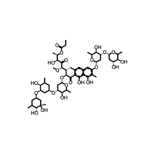 CCC(=O)O[C@H](C)[C@H](O)C(=O)[C@@H](OC)[C@@H]1Cc2cc3cc(O[C@H]4C[C@@H](O[C@H]5C[C@@H](O)[C@H](O)C(C)O5)[C@H](O)C(C)O4)c(C)c(O)c3c(O)c2C(=O)[C@H]1O[C@H]1C[C@@H](O[C@@H]2CC(C)[C@H](O)[C@H](O[C@@H]3CC(C)[C@@H](O)[C@@](C)(O)C3)C2)[C@H](O)C(C)O1